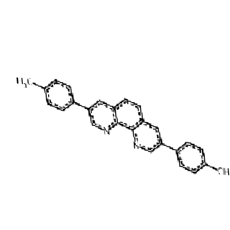 Cc1ccc(-c2cnc3c(ccc4cc(-c5ccc(C)cc5)cnc43)c2)cc1